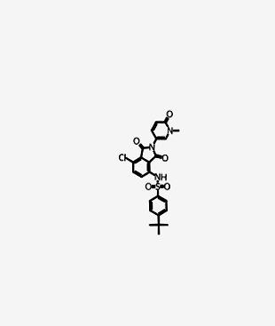 Cn1cc(N2C(=O)c3c(Cl)ccc(NS(=O)(=O)c4ccc(C(C)(C)C)cc4)c3C2=O)ccc1=O